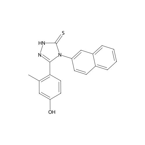 Cc1cc(O)ccc1-c1n[nH]c(=S)n1-c1ccc2ccccc2c1